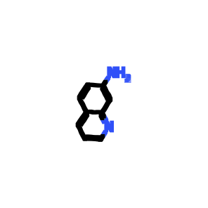 Nc1ccc2cccnc2c1